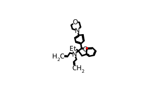 C=CCN(CC=C)C(CC)(Cc1ccccc1)C(=O)c1ccc(N2CCOCC2)cc1